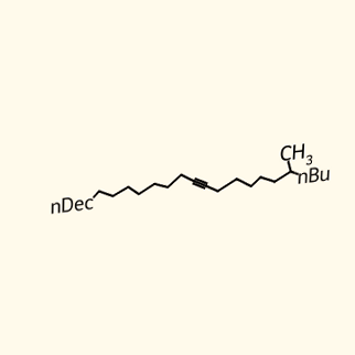 [CH2]CCCCCCCCCCCCCCCCC#CCCCCCC(C)CCC[CH2]